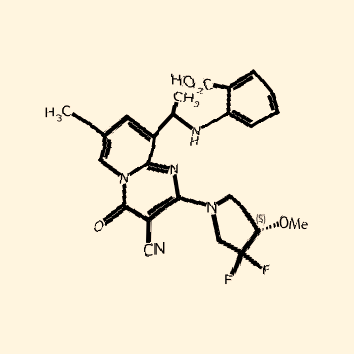 CO[C@H]1CN(c2nc3c(C(C)Nc4ccccc4C(=O)O)cc(C)cn3c(=O)c2C#N)CC1(F)F